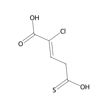 O=C(O)C(Cl)=CCC(O)=S